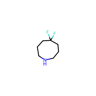 FC1(F)CCCNCCC1